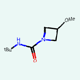 COC1CN(C(=O)NC(C)(C)C)C1